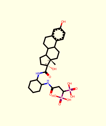 C[C@]12CCC3c4ccc(O)cc4CCC3C1CC[C@]2(O)C(=O)NC1CCCCC1NC(=O)CC(P(=O)(O)O)P(=O)(O)O